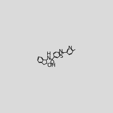 Cc1ccc(-c2nc3ccc(C(=O)N[C@@H]4c5ccccc5C[C@H]4O)cc3s2)cn1